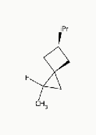 CC(C)[C@H]1C[C@]2(CC2(C)F)C1